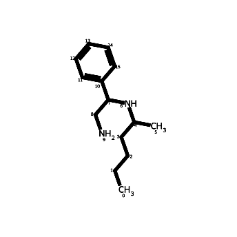 CCCCC(C)NC(CN)c1ccccc1